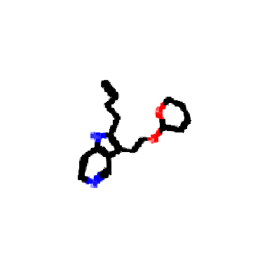 C=CCCc1[nH]c2ccncc2c1CCOC1CCCCO1